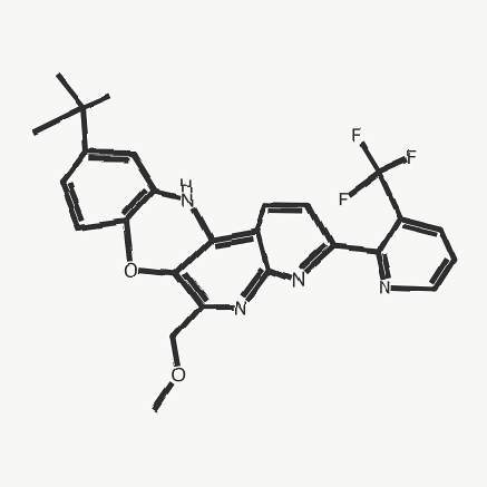 COCc1nc2nc(-c3ncccc3C(F)(F)F)ccc2c2c1Oc1ccc(C(C)(C)C)cc1N2